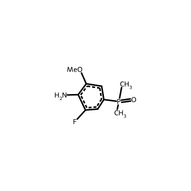 COc1cc(P(C)(C)=O)cc(F)c1N